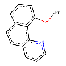 CC(C)Oc1cccc2ccc3cccnc3c12